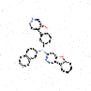 c1ccc2cc(N(c3ccc4oc5cnccc5c4c3)c3cc4oc5ccccc5c4cn3)ccc2c1